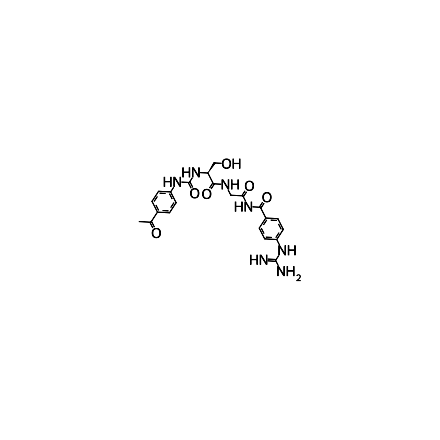 CC(=O)c1ccc(NC(=O)N[C@@H](CO)C(=O)NCC(=O)NC(=O)c2ccc(NC(=N)N)cc2)cc1